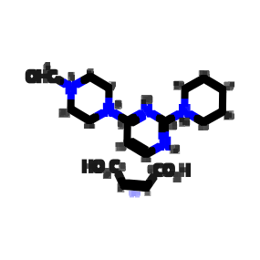 O=C(O)/C=C\C(=O)O.O=CN1CCN(c2ccnc(N3CCCCC3)n2)CC1